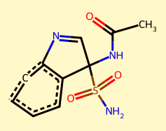 CC(=O)NC1(S(N)(=O)=O)C=Nc2ccccc21